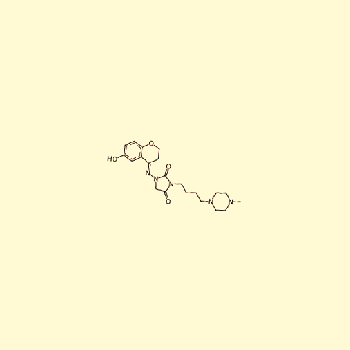 CN1CCN(CCCCN2C(=O)CN(/N=C3\CCOc4ccc(O)cc43)C2=O)CC1